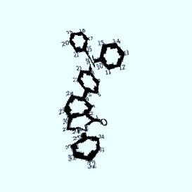 O=C1c2cc(-c3ccc(N(c4ccccc4)c4ccccc4)cc3)ccc2CN1c1ccccc1